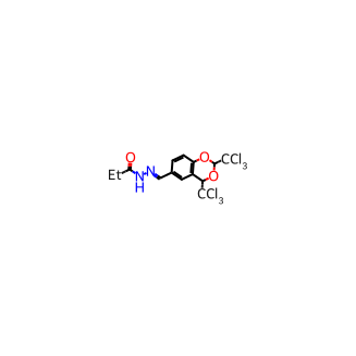 CCC(=O)NN=Cc1ccc2c(c1)C(C(Cl)(Cl)Cl)OC(C(Cl)(Cl)Cl)O2